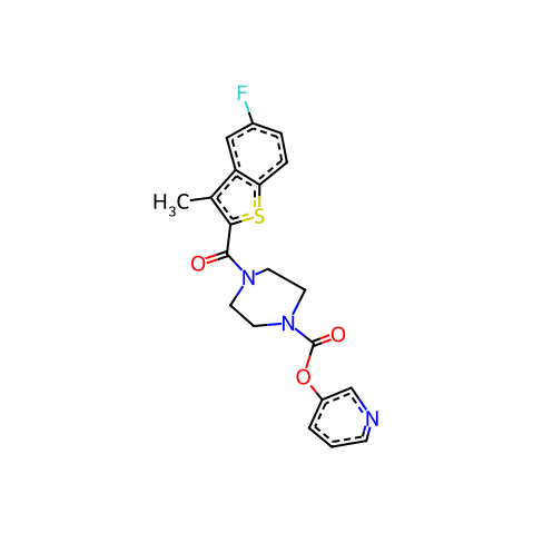 Cc1c(C(=O)N2CCN(C(=O)Oc3cccnc3)CC2)sc2ccc(F)cc12